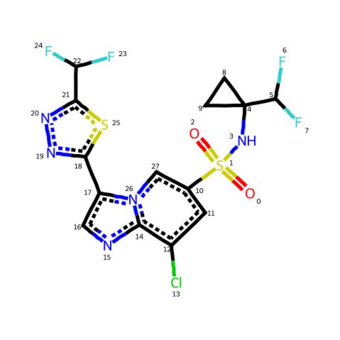 O=S(=O)(NC1(C(F)F)CC1)c1cc(Cl)c2ncc(-c3nnc(C(F)F)s3)n2c1